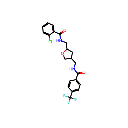 O=C(NCC1COC(CNC(=O)c2ccccc2Cl)C1)c1ccc(C(F)(F)F)cc1